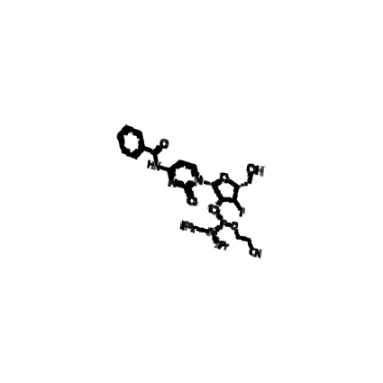 CC(C)N(C(C)C)P(OCCC#N)O[C@H]1C(F)[C@@H](CO)O[C@H]1n1ccc(NC(=O)c2ccccc2)nc1=O